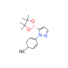 CC1(C)OB(c2ccnn2C2=CCC(C#N)C=C2)OC1(C)C